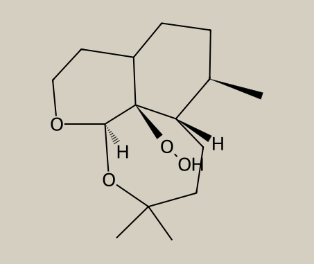 C[C@@H]1CCC2CCO[C@@H]3OC(C)(C)CC[C@@H]1[C@@]23OO